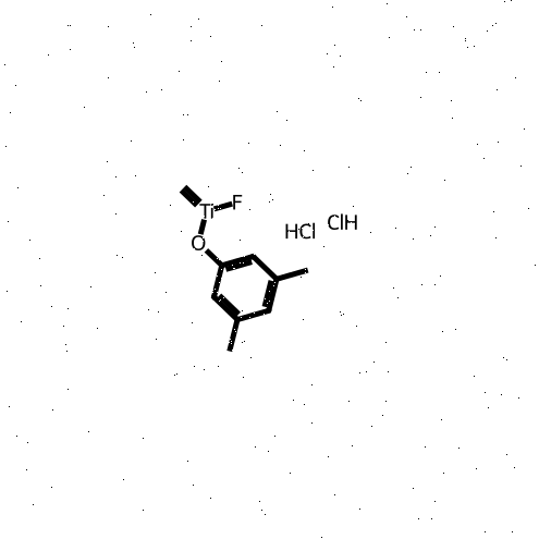 Cl.Cl.[CH2]=[Ti]([F])[O]c1cc(C)cc(C)c1